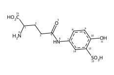 NC(CCC(=O)Nc1ccc(O)c(S(=O)(=O)O)c1)C(=O)O